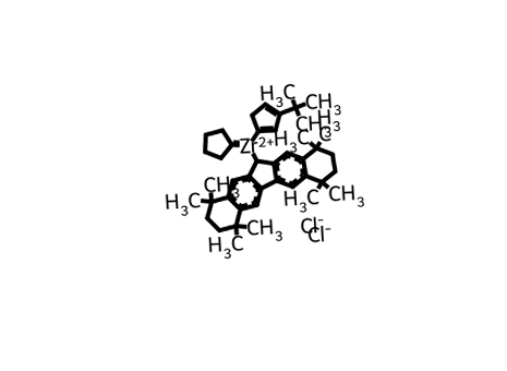 CC(C)(C)C1=CC[C]([Zr+2](=[C]2CCCC2)[CH]2c3cc4c(cc3-c3cc5c(cc32)C(C)(C)CCC5(C)C)C(C)(C)CCC4(C)C)=C1.[Cl-].[Cl-]